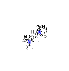 Cc1cc(N(c2ccc3c(c2)C2(CCCCC2)c2ccccc2-3)c2ccc3c(c2)C2(c4ccccc4-c4ccccc42)c2ccccc2-3)ccc1-c1cc(-c2cccc(-c3ccc(N(c4ccc5c(c4)C(C)(C)c4ccccc4-5)c4ccc5c(c4)C4(c6ccccc6-c6ccccc64)c4ccccc4-5)c(C)c3)c2)ccc1C